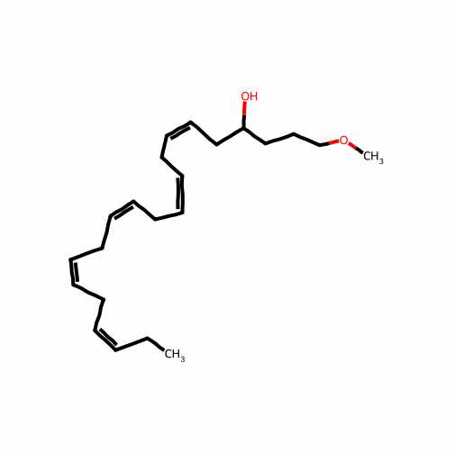 CC/C=C\C/C=C\C/C=C\C/C=C\C/C=C\CC(O)CCCOC